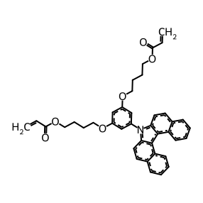 C=CC(=O)OCCCCOc1cc(OCCCCOC(=O)C=C)cc(-n2c3ccc4ccccc4c3c3c4ccccc4ccc32)c1